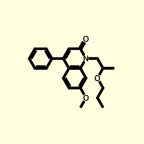 CCCOC(C)Cn1c(=O)cc(-c2ccccc2)c2ccc(OC)cc21